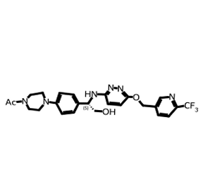 CC(=O)N1CCN(c2ccc([C@@H](CO)Nc3ccc(OCc4ccc(C(F)(F)F)nc4)nn3)cc2)CC1